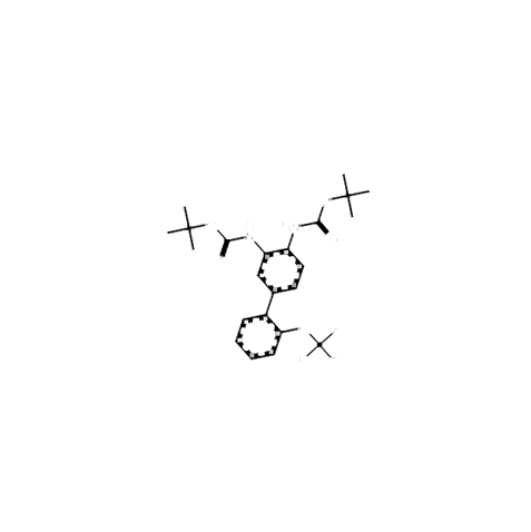 CC(C)(C)OC(=O)Nc1ccc(-c2ccccc2OC(F)(F)F)cc1NC(=O)OC(C)(C)C